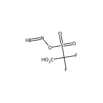 B=NOS(=O)(=O)C(F)(F)C(=O)O